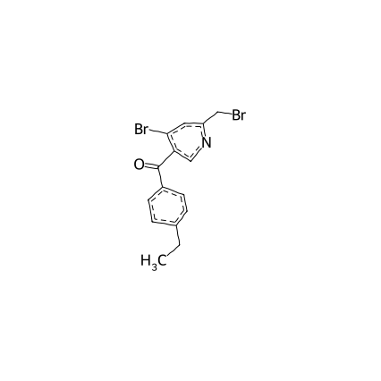 CCc1ccc(C(=O)c2cnc(CBr)cc2Br)cc1